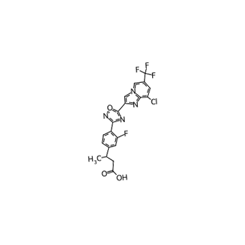 CC(CC(=O)O)c1ccc(-c2noc(-c3cn4cc(C(F)(F)F)cc(Cl)c4n3)n2)c(F)c1